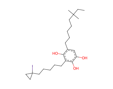 CCC(C)(C)CCCCCc1cc(O)c(O)c(CCCCCC2(I)CC2)c1O